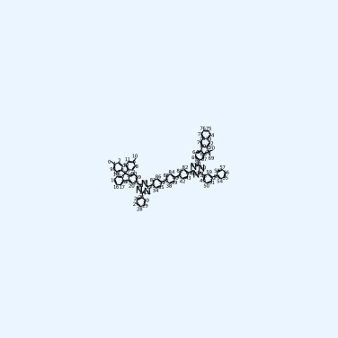 Cc1ccc(C2(c3ccc(C)cc3)c3ccccc3-c3cc(-c4nc(-c5ccccc5)nc(-c5ccc(-c6ccc(-c7ccc(-c8nc(-c9cccc(-c%10ccccc%10)c9)nc(-c9ccc%10c(c9)C(C)(C)c9cc%11ccccc%11cc9-%10)n8)cc7)cc6)cc5)n4)ccc32)cc1